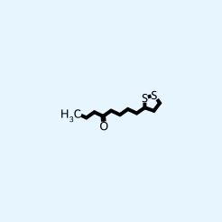 CCCC(=O)CCCCC1CCSS1